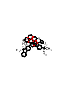 CC(C)(C)c1ccc2c(c1)C1(c3ccccc3Sc3ccc(-c4ccccc4N(c4ccc5c(c4)C(C)(C)c4ccccc4-5)c4ccccc4-c4ccccc4)cc31)c1cc(C(C)(C)C)ccc1-2